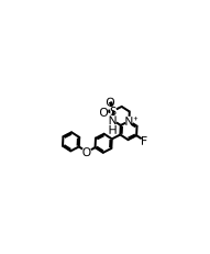 O=S1(=O)CC[n+]2cc(F)cc(-c3ccc(Oc4ccccc4)cc3)c2N1